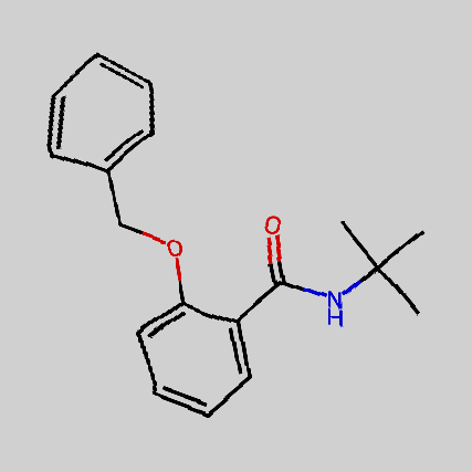 CC(C)(C)NC(=O)c1ccccc1OCc1ccccc1